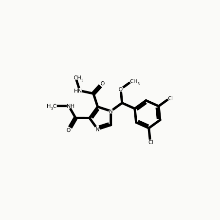 CNC(=O)c1ncn(C(OC)c2cc(Cl)cc(Cl)c2)c1C(=O)NC